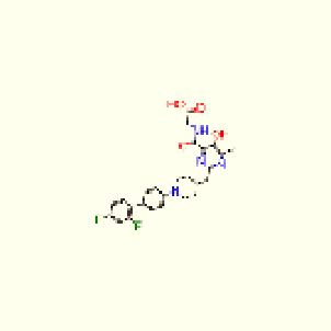 Cc1nc(CC2CCN(c3ccc(-c4ccc(F)cc4F)cc3)CC2)nc(C(=O)NCC(=O)O)c1O